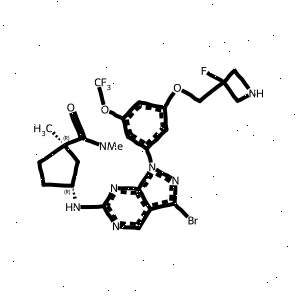 CNC(=O)[C@]1(C)CC[C@@H](Nc2ncc3c(Br)nn(-c4cc(OCC5(F)CNC5)cc(OC(F)(F)F)c4)c3n2)C1